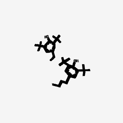 CCCCc1cc(C(C)(C)C)c(O)c(C(C)(C)C)c1.CCc1cc(C(C)(C)C)c(O)c(C(C)(C)C)c1